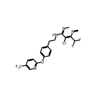 C=N/C(=C(Cl)\C(=N/C)NCCc1ccc(Oc2ccc(C(F)(F)F)cn2)cc1)C(F)F